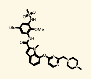 COc1c(NC(=O)c2cc3cccc(Oc4ccnc(CN5CCN(C)CC5)n4)c3n2C)cc(C(C)(C)C)cc1NS(C)(=O)=O